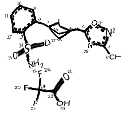 Cc1noc(C23CC(c4ccccc4S(N)(=O)=O)(C2)C3)n1.O=C(O)C(F)(F)F